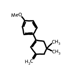 C=C1C=C(c2ccc(OC)cc2)CC(C)(C)C1